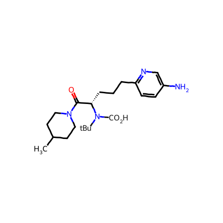 CC1CCN(C(=O)[C@H](CCCc2ccc(N)cn2)N(C(=O)O)C(C)(C)C)CC1